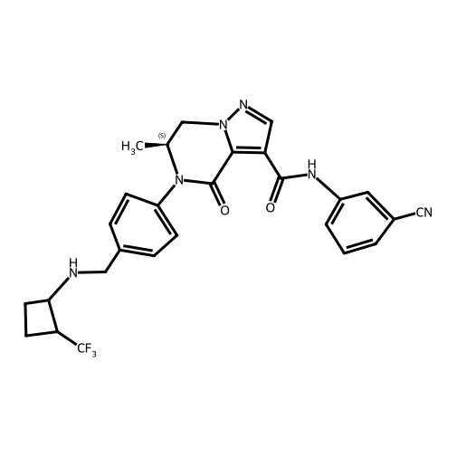 C[C@H]1Cn2ncc(C(=O)Nc3cccc(C#N)c3)c2C(=O)N1c1ccc(CNC2CCC2C(F)(F)F)cc1